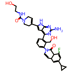 Nc1nc(-c2cccc(N3C=CC4C=C(C5CC5)C=C(F)C4C3=O)c2CO)c2cc(C3=CCN(C(=O)NCCO)CC3)[nH]c2n1